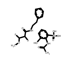 CC(=O)Nc1c(O)cccc1[As](=O)(O)O.COC(F)C(F)C(=O)NCCc1ccccc1